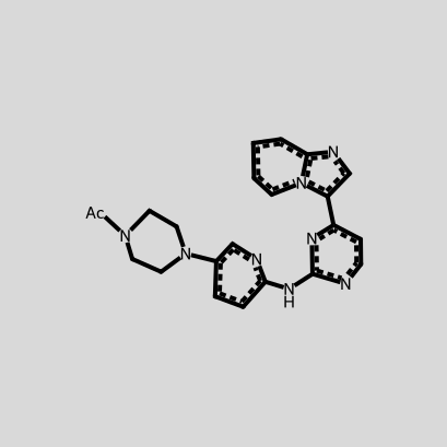 CC(=O)N1CCN(c2ccc(Nc3nccc(-c4cnc5ccccn45)n3)nc2)CC1